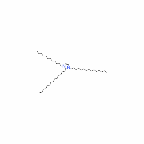 CCCCCCCCCCCCCCCN1C=CN(CCCCCCCCCCCC)C1CCCCCCCCCCCCCC